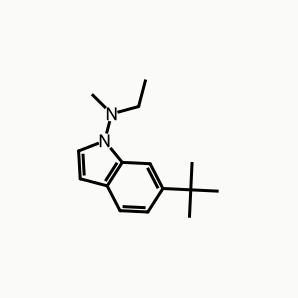 CCN(C)n1ccc2ccc(C(C)(C)C)cc21